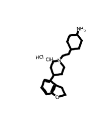 Cl.Cl.NC1CCC(CCN2CCC(c3cccc4c3CCO4)CC2)CC1